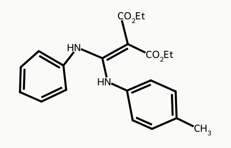 CCOC(=O)C(C(=O)OCC)=C(Nc1ccccc1)Nc1ccc(C)cc1